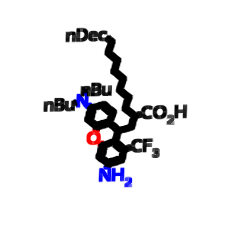 CCCCCCCCCCCCCCCCCCC(CC1c2ccc(N(CCCC)CCCC)cc2Oc2cc(N)cc(C(F)(F)F)c21)C(=O)O